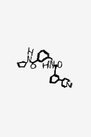 O=C(NCc1cccc(C(=O)NC2CCCC2)c1)c1cccc(-c2ccncc2)c1